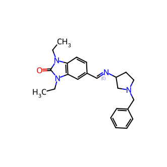 CCn1c(=O)n(CC)c2cc(/C=N/C3CCN(Cc4ccccc4)C3)ccc21